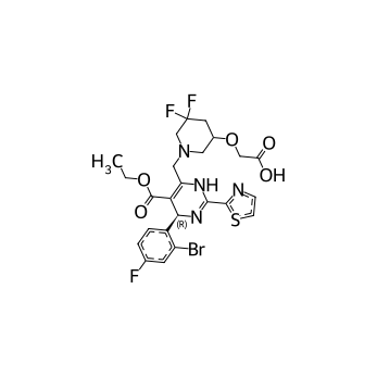 CCOC(=O)C1=C(CN2CC(OCC(=O)O)CC(F)(F)C2)NC(c2nccs2)=N[C@H]1c1ccc(F)cc1Br